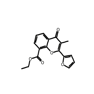 CCOC(=O)c1cccc2c(=O)c(C)c(-c3ccco3)oc12